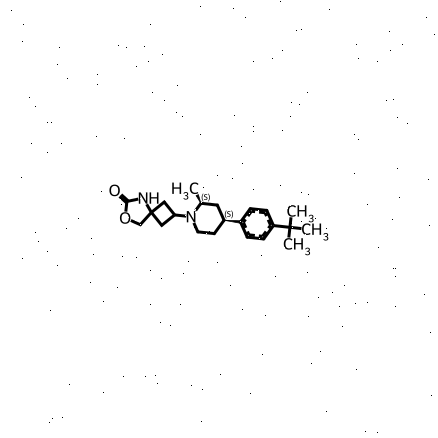 C[C@H]1C[C@@H](c2ccc(C(C)(C)C)cc2)CCN1C1CC2(COC(=O)N2)C1